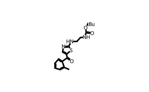 Cc1ccccc1C(=O)c1cnc(NCCNC(=O)OC(C)(C)C)s1